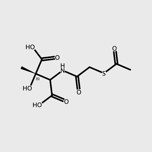 CC(=O)SCC(=O)NC(C(=O)O)[C@](C)(O)C(=O)O